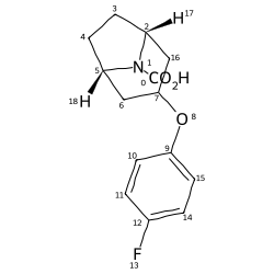 O=C(O)N1[C@@H]2CC[C@H]1CC(Oc1ccc(F)cc1)C2